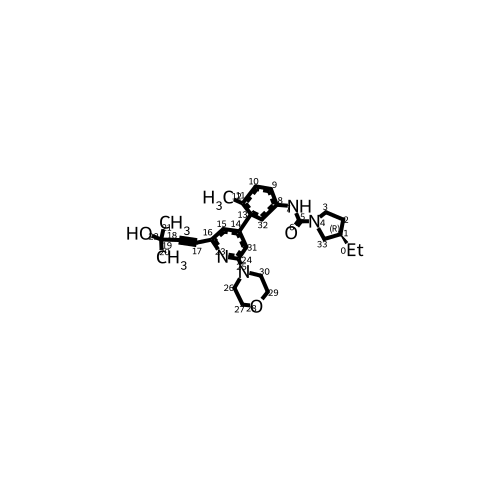 CC[C@@H]1CCN(C(=O)Nc2ccc(C)c(-c3cc(C#CC(C)(C)O)nc(N4CCOCC4)c3)c2)C1